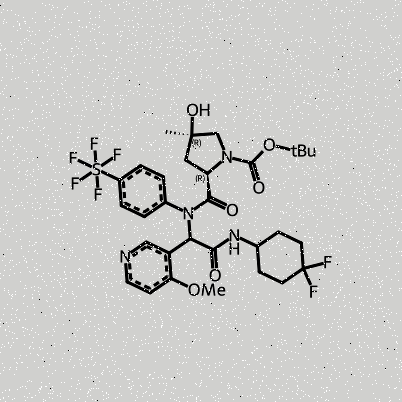 COc1ccncc1C(C(=O)NC1CCC(F)(F)CC1)N(C(=O)[C@H]1C[C@@](C)(O)CN1C(=O)OC(C)(C)C)c1ccc(S(F)(F)(F)(F)F)cc1